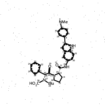 CNc1ccc(-c2cc3cc(NC(=O)[C@@H]4CCCN4C(=O)[C@@H](c4ccccc4)N(C(=O)O)C(C)(C)C)ccc3[nH]2)cc1